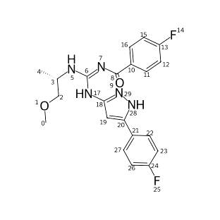 COC[C@H](C)N/C(=N/C(=O)c1ccc(F)cc1)Nc1cc(-c2ccc(F)cc2)[nH]n1